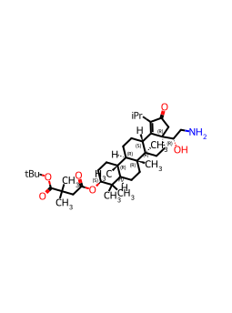 CC(C)C1=C2[C@H]3CC[C@@H]4[C@@]5(C)CC[C@H](OC(=O)CC(C)(C)C(=O)OC(C)(C)C)C(C)(C)[C@@H]5CC[C@@]4(C)[C@]3(C)CC[C@@]2([C@@H](O)CN)CC1=O